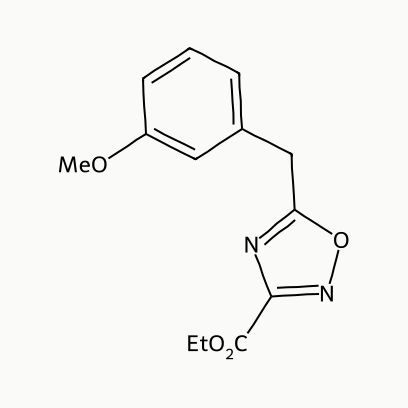 CCOC(=O)c1noc(Cc2cccc(OC)c2)n1